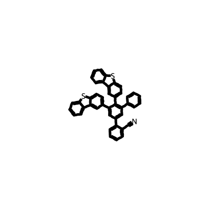 N#Cc1ccccc1-c1cc(-c2ccccc2)c(-c2ccc3sc4ccccc4c3c2)c(-c2ccc3sc4ccccc4c3c2)c1